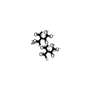 CC(=O)C(C(C)=O)C(=O)C(=O)[O-].CC(=O)C(C(C)=O)C(=O)C(=O)[O-].[Zn+2]